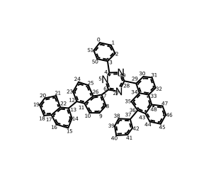 c1ccc(-c2nc(-c3cccc4c(-c5cccc6ccccc56)cccc34)nc(-c3cccc4c3cc(-c3ccccc3)c3ccccc34)n2)cc1